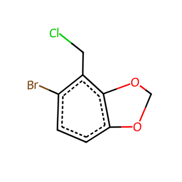 ClCc1c(Br)ccc2c1OCO2